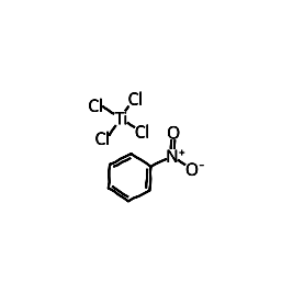 O=[N+]([O-])c1ccccc1.[Cl][Ti]([Cl])([Cl])[Cl]